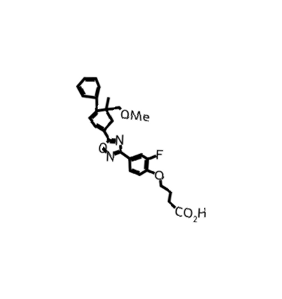 COCC1(C)CC(c2nc(-c3ccc(OCCCC(=O)O)c(F)c3)no2)=CC=C1c1ccccc1